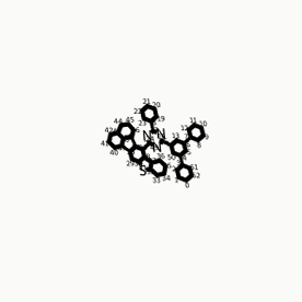 c1ccc(-c2cc(-c3ccccc3)cc(-c3nc(-c4ccccc4)nc(-c4c5c(cc6sc7ccccc7c46)-c4cccc6cccc-5c46)n3)c2)cc1